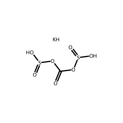 O=C(OS(=O)O)OS(=O)O.[KH]